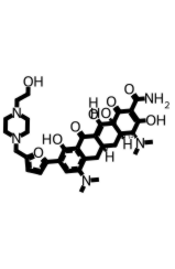 CN(C)c1cc(-c2ccc(CN3CCN(CCO)CC3)o2)c(O)c2c1C[C@H]1C[C@H]3[C@H](N(C)C)C(O)=C(C(N)=O)C(=O)[C@@]3(O)C(O)=C1C2=O